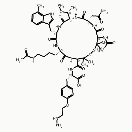 CC(=O)NCCCC[C@@H]1NC(=O)[C@H](Cc2c[nH]c3c(C)cccc23)NC(=O)[C@H]([C@@H](C)OP)NC(=O)[C@H](CC(N)=O)NC(=O)[C@@H](NC(C)=O)C(C)(C)SSC(C)(C)[C@@H](C(=O)N[C@@H](Cc2ccc(OCCNP)cc2)C(=O)O)NC1=O